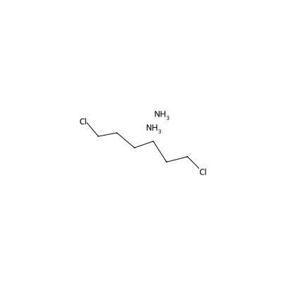 ClCCCCCCCl.N.N